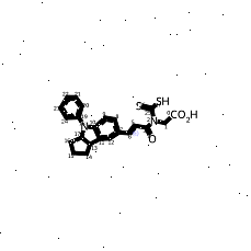 O=C(O)CN(C(=O)/C=C/c1ccc2c(c1)C1CCCC1N2c1ccccc1)C(=S)S